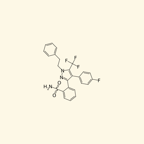 NS(=O)(=O)c1ccccc1-c1nn(CCc2ccccc2)c(C(F)(F)F)c1-c1ccc(F)cc1